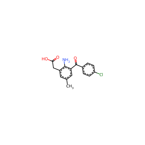 Cc1cc(CC(=O)O)c(N)c(C(=O)c2ccc(Cl)cc2)c1